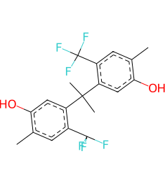 Cc1cc(C(F)(F)F)c(C(C)(C)c2cc(O)c(C)cc2C(F)(F)F)cc1O